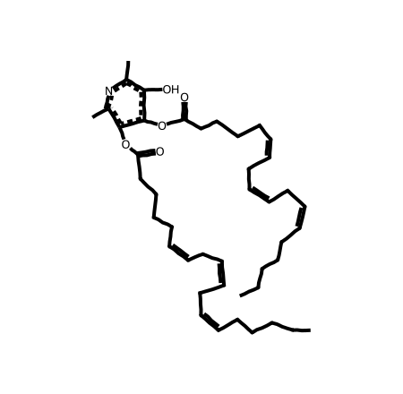 CCCCC/C=C\C/C=C\C/C=C\CCCCC(=O)Oc1c(C)nc(C)c(O)c1OC(=O)CCCC/C=C\C/C=C\C/C=C\CCCCC